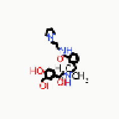 CC(C)(Cc1cccc(C(=O)NCCCN2CCCC2)c1)NC[C@H](O)c1ccc(O)c(CO)c1